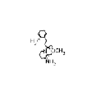 COC[C@H]1[C@@H](N)CCCN1C(=O)CCc1ccccc1C